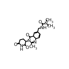 CC1=NC2C=CC(CNC(=O)N(C)C)=CC2C(=O)N1C1CCC(=O)NC1=O